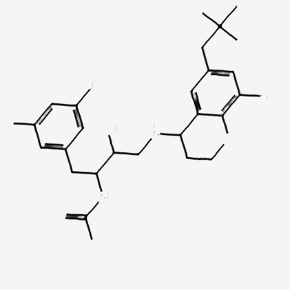 CC(=O)NC(Cc1cc(F)cc(F)c1)C(O)CNC1CCOc2c(Br)cc(CC(C)(C)C)cc21